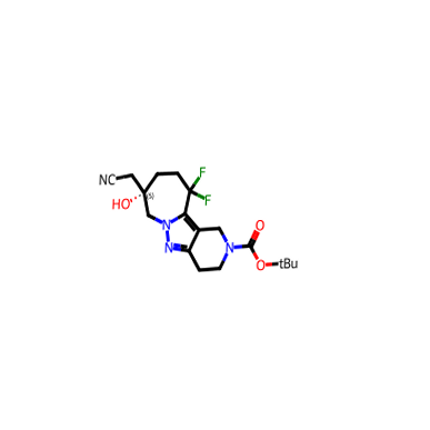 CC(C)(C)OC(=O)N1CCc2nn3c(c2C1)C(F)(F)CC[C@](O)(CC#N)C3